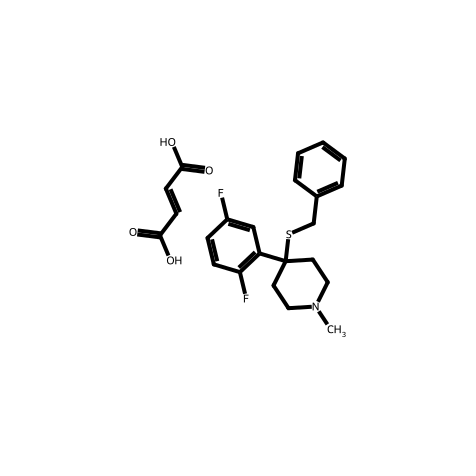 CN1CCC(SCc2ccccc2)(c2cc(F)ccc2F)CC1.O=C(O)C=CC(=O)O